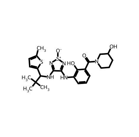 Cc1ccc(C(Nc2n[s+]([O-])nc2Nc2cccc(C(=O)N3CCCC(O)C3)c2O)C(C)(C)C)s1